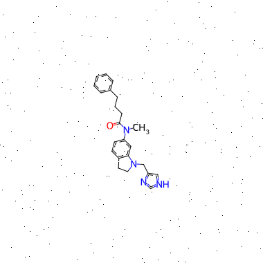 CN(C(=O)CCCc1ccccc1)c1ccc2c(c1)N(Cc1c[nH]cn1)CC2